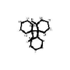 CCC1(C2(C3CCCCC3)CCCCC2C)CCCCC1